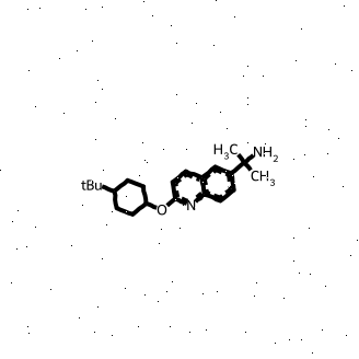 CC(C)(N)c1ccc2nc(OC3CCC(C(C)(C)C)CC3)ccc2c1